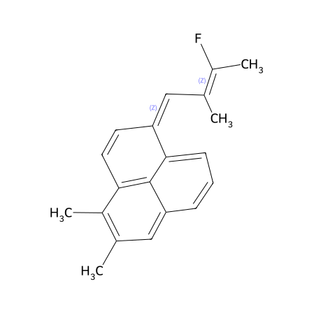 C/C(F)=C(C)/C=c1/ccc2c(C)c(C)cc3cccc1c32